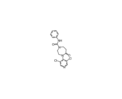 O=C(Nc1ccccc1)N1CCC(=O)N(c2c(Cl)cncc2Cl)CC1